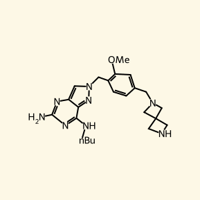 CCCCNc1nc(N)nc2cn(Cc3ccc(CN4CC5(CNC5)C4)cc3OC)nc12